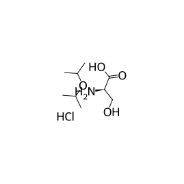 CC(C)OC(C)C.Cl.N[C@H](CO)C(=O)O